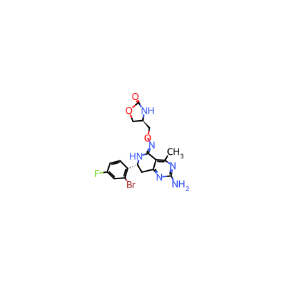 Cc1nc(N)nc2c1/C(=N/OC[C@H]1COC(=O)N1)N[C@@H](c1ccc(F)cc1Br)C2